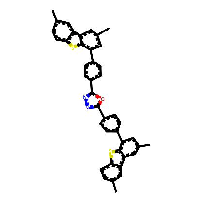 Cc1ccc2sc3c(-c4ccc(-c5nnc(-c6ccc(-c7cc(C)cc8c7sc7ccc(C)cc78)cc6)o5)cc4)cc(C)cc3c2c1